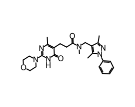 Cc1nn(-c2ccccc2)c(C)c1CN(C)C(=O)CCc1c(C)nc(N2CCOCC2)[nH]c1=O